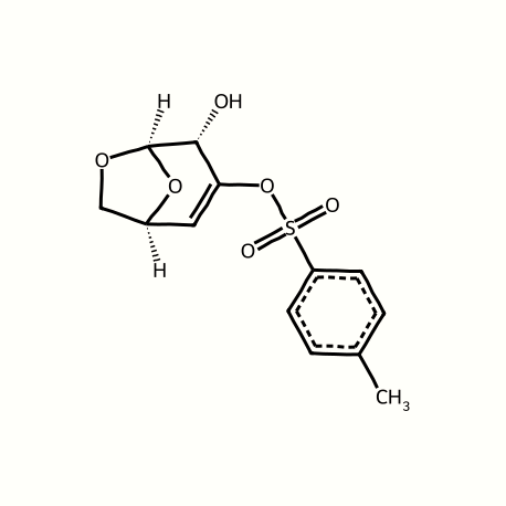 Cc1ccc(S(=O)(=O)OC2=C[C@H]3CO[C@H](O3)[C@@H]2O)cc1